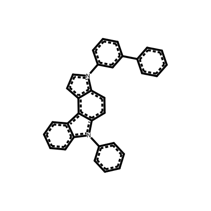 c1ccc(-c2cccc(-n3ccc4c5c6ccccc6n(-c6ccccc6)c5ccc43)c2)cc1